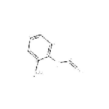 CCCCc1ccccc1O[C]=S